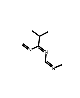 C=N/C(=N\C=N/C)C(C)C